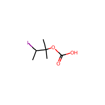 CC(I)C(C)(C)OC(=O)O